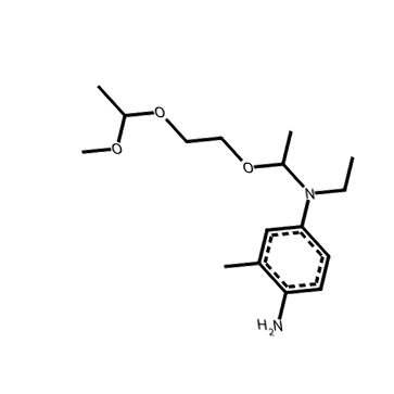 CCN(c1ccc(N)c(C)c1)C(C)OCCOC(C)OC